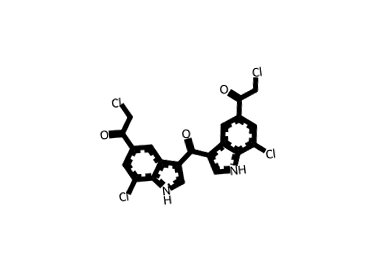 O=C(CCl)c1cc(Cl)c2[nH]cc(C(=O)c3c[nH]c4c(Cl)cc(C(=O)CCl)cc34)c2c1